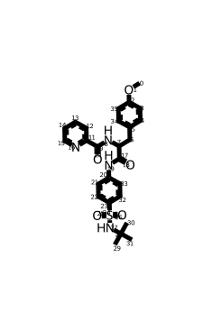 COc1ccc(CC(NC(=O)c2ccccn2)C(=O)Nc2ccc(S(=O)(=O)NC(C)(C)C)cc2)cc1